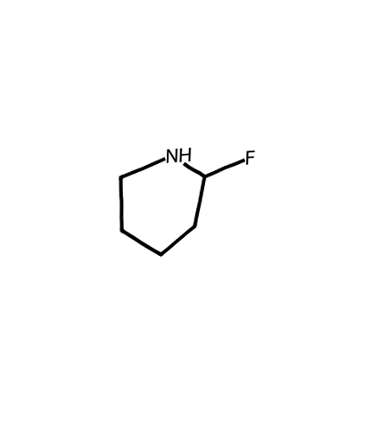 FC1CCCCN1